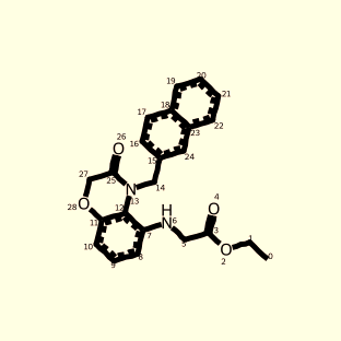 CCOC(=O)CNc1cccc2c1N(Cc1ccc3ccccc3c1)C(=O)CO2